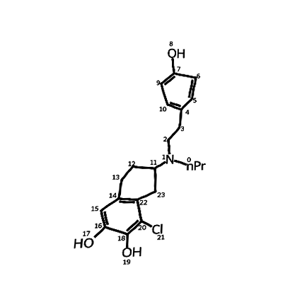 CCCN(CCc1ccc(O)cc1)C1CCc2cc(O)c(O)c(Cl)c2C1